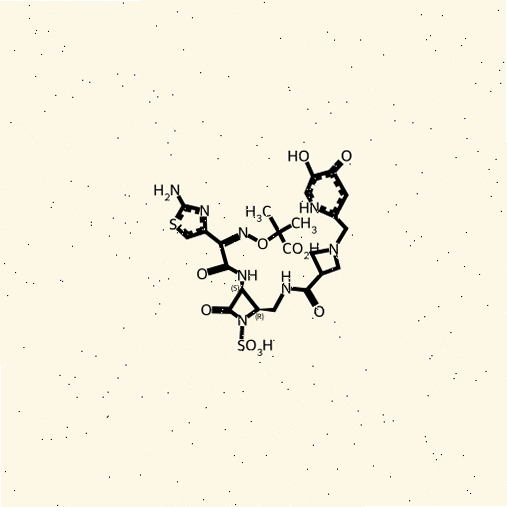 CC(C)(ON=C(C(=O)N[C@@H]1C(=O)N(S(=O)(=O)O)[C@@H]1CNC(=O)C1CN(Cc2cc(=O)c(O)c[nH]2)C1)c1csc(N)n1)C(=O)O